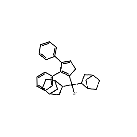 [Zr][C](C1=C(c2ccccc2)C(c2ccccc2)=CC1)(C1CC2CCC1C2)C1CC2CCC1C2